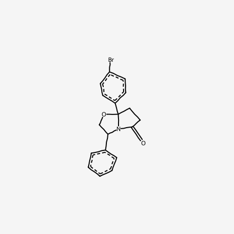 O=C1CCC2(c3ccc(Br)cc3)OCC(c3ccccc3)N12